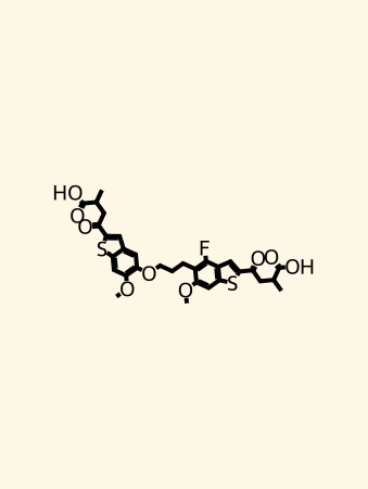 COc1cc2sc(C(=O)CC(C)C(=O)O)cc2cc1OCCCc1c(OC)cc2sc(C(=O)CC(C)C(=O)O)cc2c1F